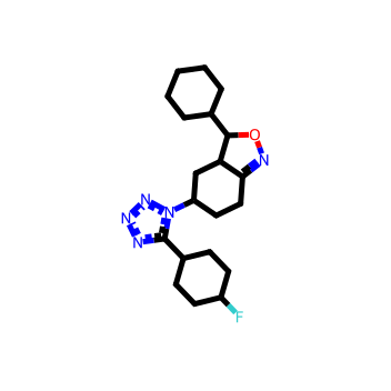 FC1CCC(c2nnnn2C2CCC3=NOC(C4CCCCC4)C3C2)CC1